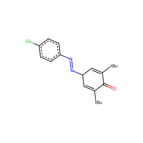 CC(C)(C)C1=CC(N=Nc2ccc(Cl)cc2)C=C(C(C)(C)C)C1=O